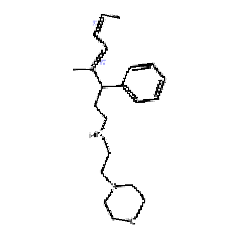 C/C=C\C=C(/C)C(CCNCCN1CCOCC1)c1ccccc1